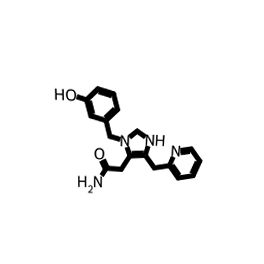 NC(=O)CC1=C(Cc2ccccn2)NCN1Cc1cccc(O)c1